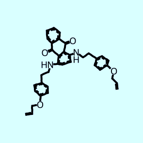 C=CCOc1ccc(CCNc2ccc(NCCc3ccc(OCC=C)cc3)c3c2C(=O)c2ccccc2C3=O)cc1